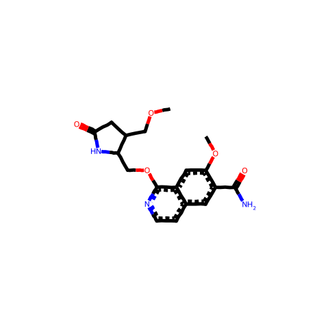 COCC1CC(=O)NC1COc1nccc2cc(C(N)=O)c(OC)cc12